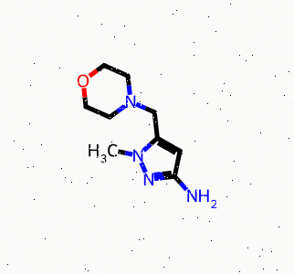 Cn1nc(N)cc1CN1CCOCC1